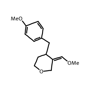 COC=C1COCCC1Cc1ccc(OC)cc1